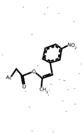 CC(=O)CC(=O)OC(C)=Cc1cccc([N+](=O)[O-])c1